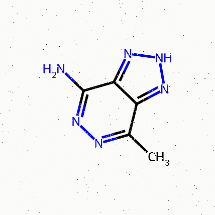 Cc1nnc(N)c2n[nH]nc12